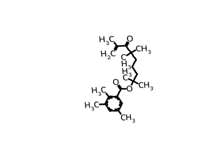 C=C(C)C(=O)C(C)(C)CCCC(C)(C)OC(=O)c1cc(C)cc(C)c1C